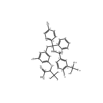 CC(C)(C)C(Oc1cc(F)cc(CC(NC(=O)c2ccc(F)c(C(F)(F)F)c2)(c2ccccc2)c2ccc(Cl)cn2)c1)C(=O)O